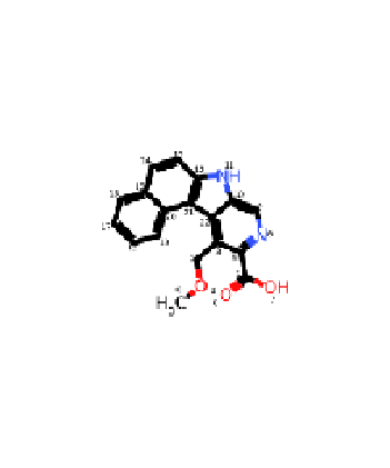 COCc1c(C(=O)O)ncc2[nH]c3ccc4ccccc4c3c12